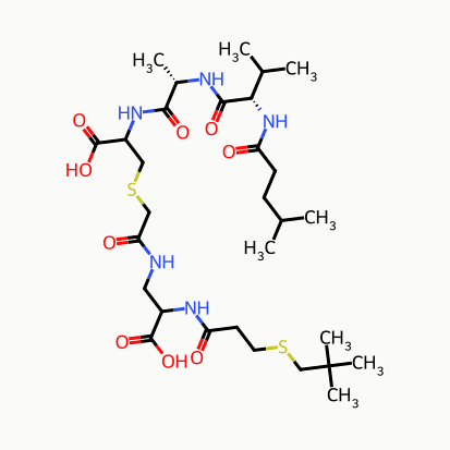 CC(C)CCC(=O)N[C@H](C(=O)N[C@@H](C)C(=O)NC(CSCC(=O)NCC(NC(=O)CCSCC(C)(C)C)C(=O)O)C(=O)O)C(C)C